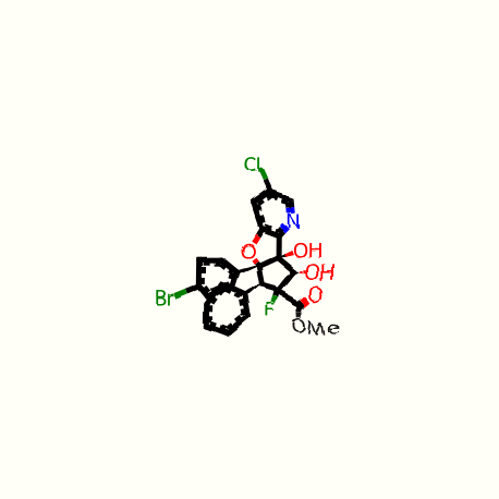 COC(=O)C1(F)[C@@H](O)[C@@]2(O)c3ncc(Cl)cc3O[C@@]2(c2ccc(Br)cc2)[C@@H]1c1ccccc1